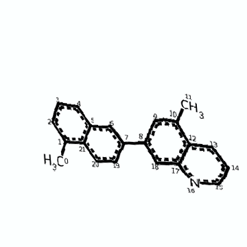 Cc1cccc2cc(-c3cc(C)c4cccnc4c3)ccc12